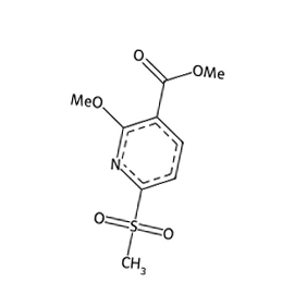 COC(=O)c1ccc(S(C)(=O)=O)nc1OC